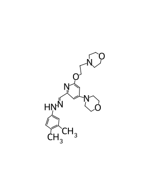 Cc1ccc(NN=Cc2cc(N3CCOCC3)cc(OCCN3CCOCC3)n2)cc1C